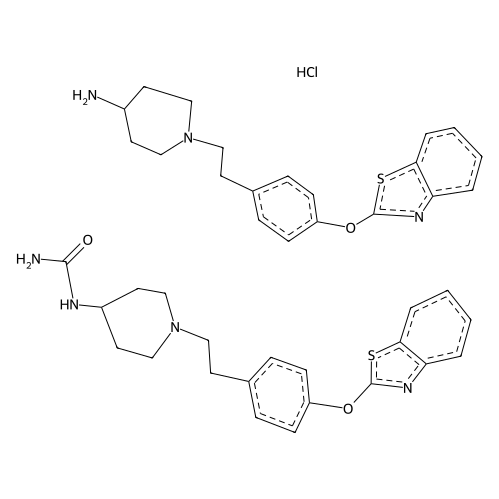 Cl.NC(=O)NC1CCN(CCc2ccc(Oc3nc4ccccc4s3)cc2)CC1.NC1CCN(CCc2ccc(Oc3nc4ccccc4s3)cc2)CC1